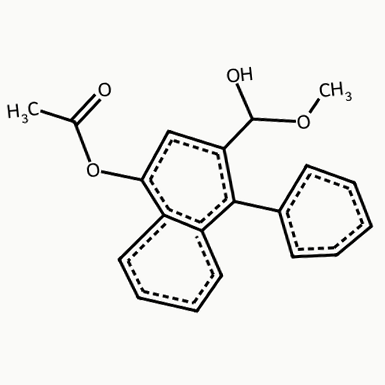 COC(O)c1cc(OC(C)=O)c2ccccc2c1-c1ccccc1